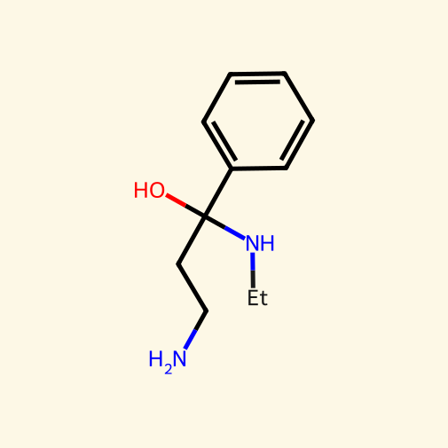 CCNC(O)(CCN)c1ccccc1